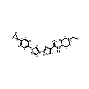 CCN1CCC(NC(=O)c2csc(-c3cnn(-c4ccc(C5CC5)cc4)c3)n2)CC1